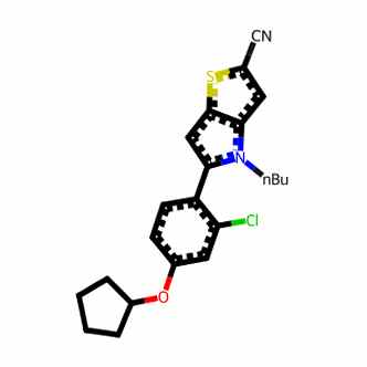 CCCCn1c(-c2ccc(OC3CCCC3)cc2Cl)cc2sc(C#N)cc21